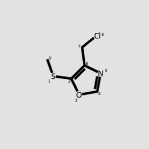 CSc1ocnc1CCl